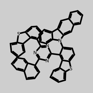 c1ccc2cc3c(cc2c1)c1ccccc1n3-c1ccc2sc3ccccc3c2c1-c1nc(-c2cccc3ccccc23)nc(-c2cccc3sc4ccccc4c23)n1